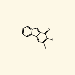 O=C1C2=Cc3ccccc3C2=CC(I)=C1I